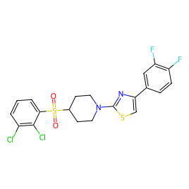 O=S(=O)(c1cccc(Cl)c1Cl)C1CCN(c2nc(-c3ccc(F)c(F)c3)cs2)CC1